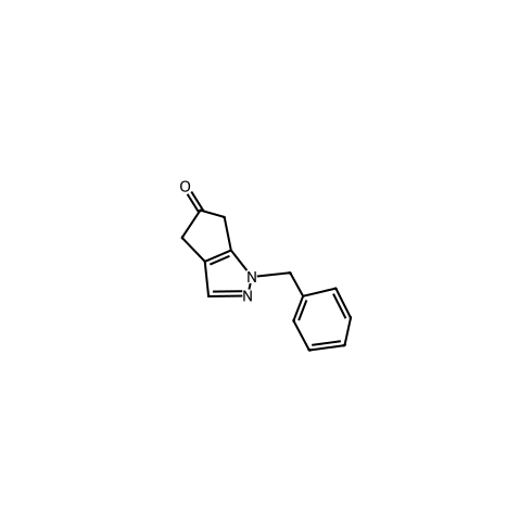 O=C1Cc2cnn(Cc3ccccc3)c2C1